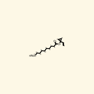 C=CC1(OC(=O)CCCCCCCCCCCCCCCCC)CC1